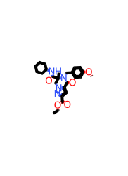 CCOC(=O)c1cc2n(n1)CC(C)(C(=O)NC1CCCCC1)N(Cc1ccc(OC)cc1)C2=O